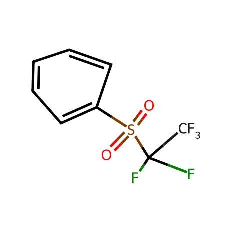 O=S(=O)(c1ccccc1)C(F)(F)C(F)(F)F